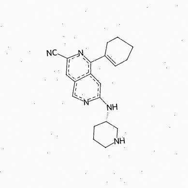 N#Cc1cc2cnc(N[C@H]3CCCNC3)cc2c(C2=CCCCC2)n1